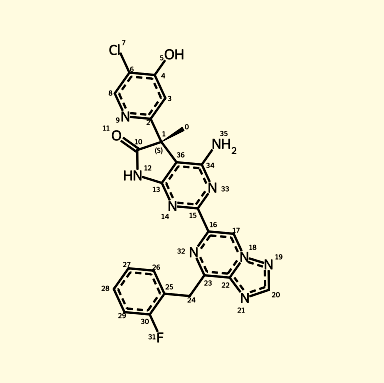 C[C@]1(c2cc(O)c(Cl)cn2)C(=O)Nc2nc(-c3cn4ncnc4c(Cc4ccccc4F)n3)nc(N)c21